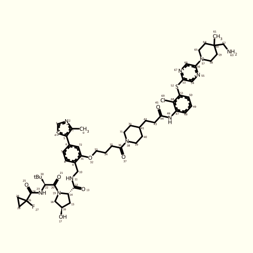 Cc1ncsc1-c1ccc(CNC(=O)[C@@H]2C[C@@H](O)CN2C(=O)[C@@H](NC(=O)C2(F)CC2)C(C)(C)C)c(OCCCC(=O)N2CCC(CCC(=O)Nc3cccc(Sc4cnc(N5CCC(C)(CN)CC5)cn4)c3Cl)CC2)c1